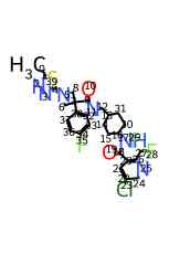 Cc1nnc(N2CC3(C2)C(=O)N(CC2CCC(NC(=O)c4cc(Cl)cnc4C(F)F)CC2)c2cc(F)ccc23)s1